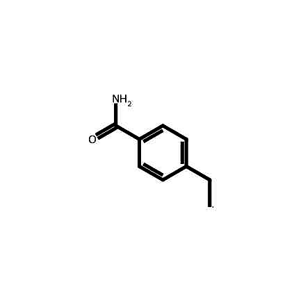 [CH2]Cc1ccc(C(N)=O)cc1